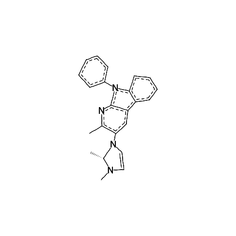 Cc1nc2c(cc1N1C=CN(C)[C@@H]1C)c1ccccc1n2-c1ccccc1